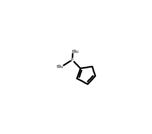 CC(C)(C)P(C1=CC=C[CH]1)C(C)(C)C